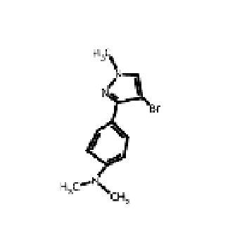 CN(C)c1ccc(-c2nn(C)cc2Br)cc1